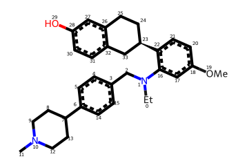 CCN(Cc1ccc(C2CCN(C)CC2)cc1)c1cc(OC)ccc1[C@@H]1CCc2cc(O)ccc2C1